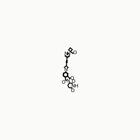 O=CC1(n2cc(C#CC3CN(c4ccc5c(c4)C(=O)N(C4CCC(=O)NC4=O)C5=O)C3)cn2)CCC1